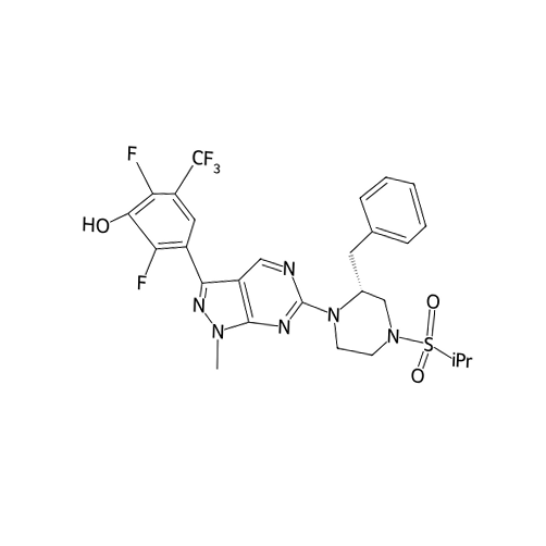 CC(C)S(=O)(=O)N1CCN(c2ncc3c(-c4cc(C(F)(F)F)c(F)c(O)c4F)nn(C)c3n2)[C@H](Cc2ccccc2)C1